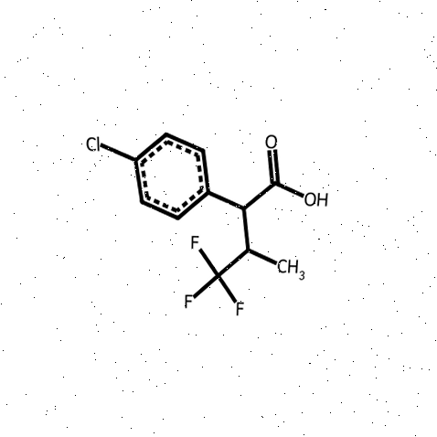 CC(C(C(=O)O)c1ccc(Cl)cc1)C(F)(F)F